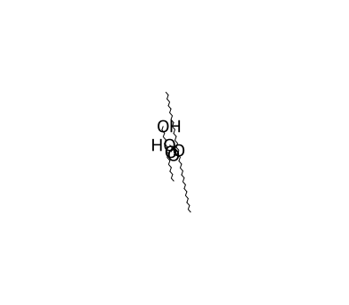 CCCCCCCCCCCCCCCCCC(=O)OC(CCCCCCCCCCCCCCCC)C(=O)O.CCCCCCCCCCCCCCCCO